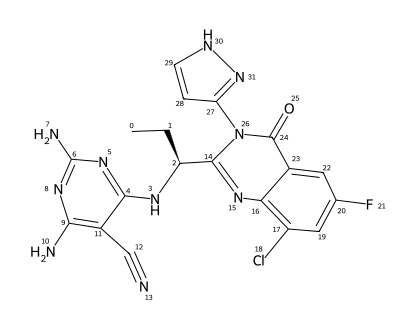 CC[C@H](Nc1nc(N)nc(N)c1C#N)c1nc2c(Cl)cc(F)cc2c(=O)n1-c1cc[nH]n1